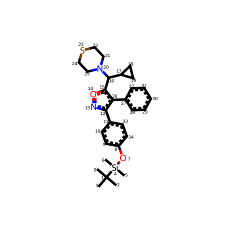 CC(C)(C)[Si](C)(C)Oc1ccc(-c2noc(C(C3CC3)N3CCSCC3)c2-c2ccccc2)cc1